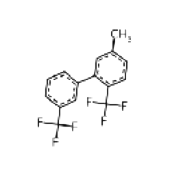 Cc1ccc(C(F)(F)F)c(-c2cccc(C(F)(F)F)c2)c1